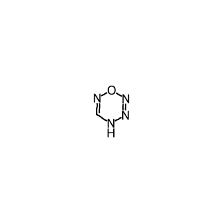 C1=NON=NN1